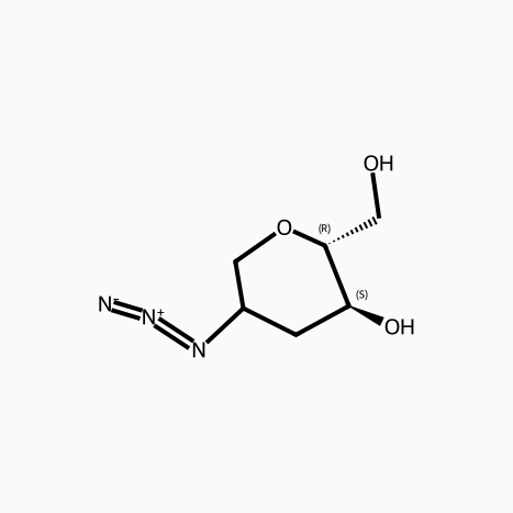 [N-]=[N+]=NC1CO[C@H](CO)[C@@H](O)C1